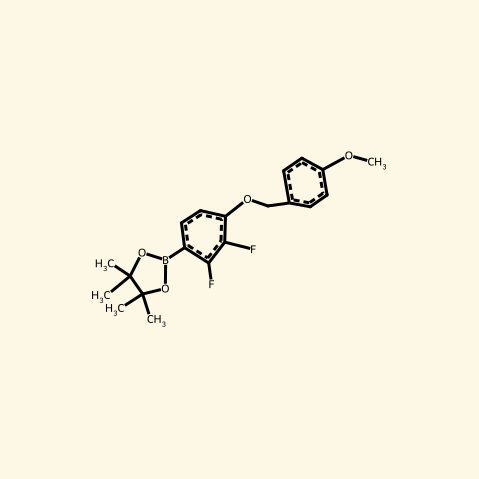 COc1ccc(COc2ccc(B3OC(C)(C)C(C)(C)O3)c(F)c2F)cc1